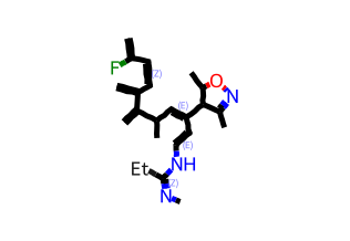 C=C(F)/C=C\C(=C)C(=C)C(C)/C=C(\C=C\N/C(CC)=N\C)C1C(C)=NOC1C